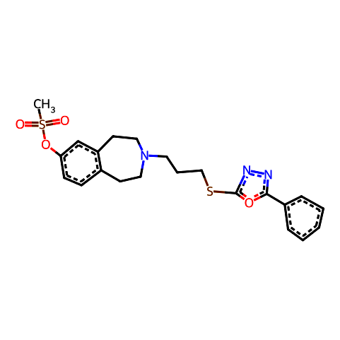 CS(=O)(=O)Oc1ccc2c(c1)CCN(CCCSc1nnc(-c3ccccc3)o1)CC2